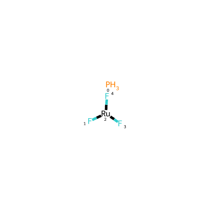 P.[F][Ru]([F])[F]